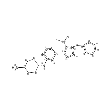 CN(C)c1c(-c2ccnc(N[C@H]3CC[C@H](N)CC3)n2)cnn1Cc1ccccc1